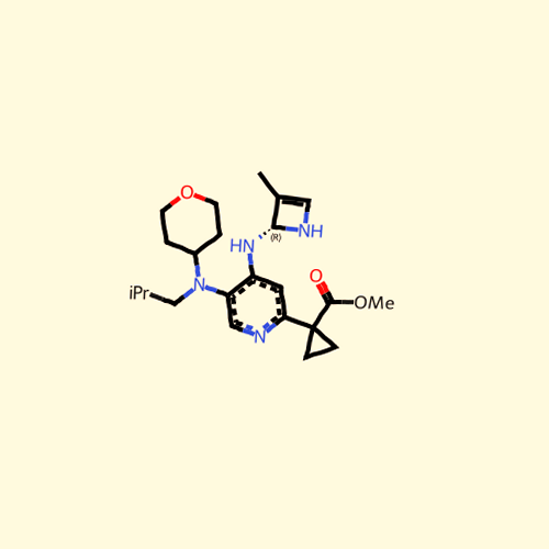 COC(=O)C1(c2cc(N[C@H]3NC=C3C)c(N(CC(C)C)C3CCOCC3)cn2)CC1